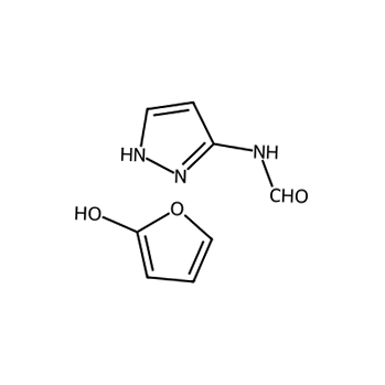 O=CNc1cc[nH]n1.Oc1ccco1